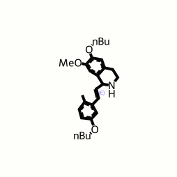 CCCCOc1ccc(C)c(/C=C/C2NCCc3cc(OCCCC)c(OC)cc32)c1